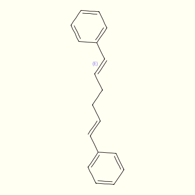 C(=Cc1ccccc1)CC/C=C/c1ccccc1